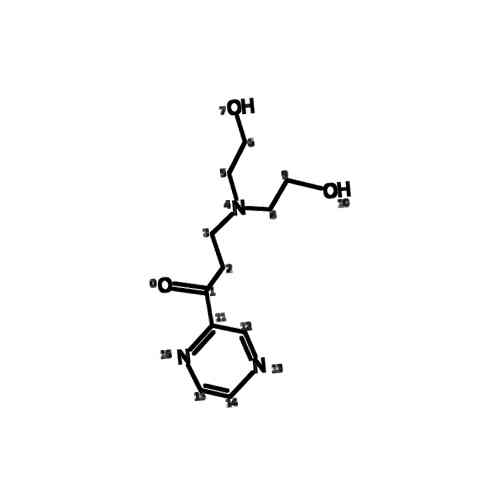 O=C(CCN(CCO)CCO)c1cnccn1